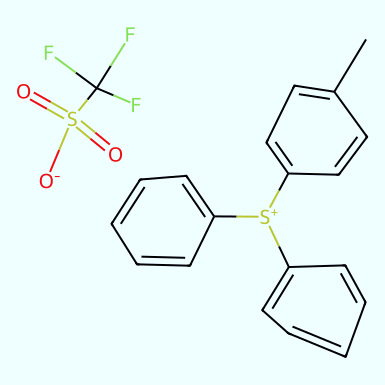 Cc1ccc([S+](c2ccccc2)c2ccccc2)cc1.O=S(=O)([O-])C(F)(F)F